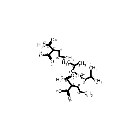 CC(C)[O][Ti+2][O]C(C)C.CCCC(C(C)=O)C(=O)[O-].CCCC(C(C)=O)C(=O)[O-]